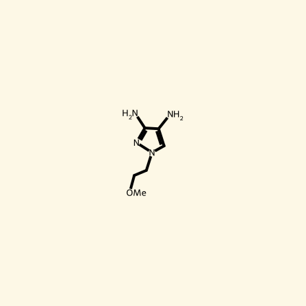 COCCn1cc(N)c(N)n1